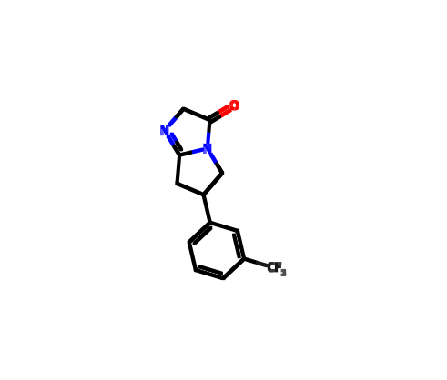 O=C1CN=C2CC(c3cccc(C(F)(F)F)c3)CN12